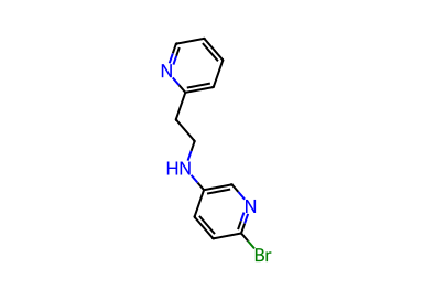 Brc1ccc(NCCc2ccccn2)cn1